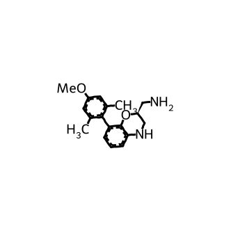 COc1cc(C)c(-c2cccc3c2O[C@@H](CN)CN3)c(C)c1